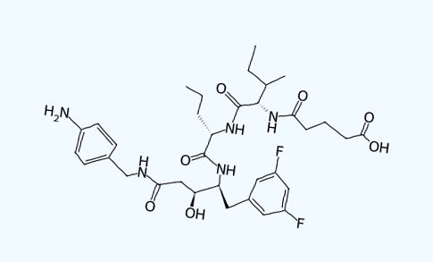 CCC[C@H](NC(=O)[C@@H](NC(=O)CCCC(=O)O)C(C)CC)C(=O)N[C@@H](Cc1cc(F)cc(F)c1)[C@@H](O)CC(=O)NCc1ccc(N)cc1